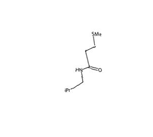 CSCCC(=O)NCC(C)C